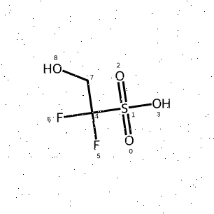 O=S(=O)(O)C(F)(F)CO